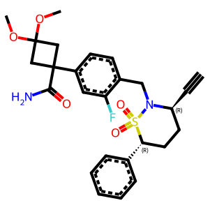 C#C[C@H]1CC[C@H](c2ccccc2)S(=O)(=O)N1Cc1ccc(C2(C(N)=O)CC(OC)(OC)C2)cc1F